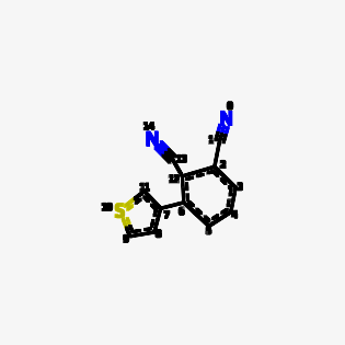 N#Cc1cccc(-c2ccsc2)c1C#N